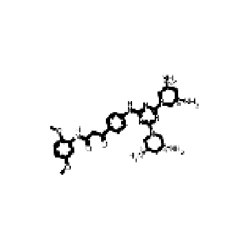 COc1ccc(OC)c(NC(=O)CC(=O)c2ccc(Nc3nc(N4C[C@H](N)C[C@H](N)C4)nc(N4C[C@H](N)C[C@H](N)C4)n3)cc2)c1